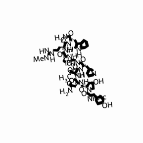 CNC(=N)NCCC[C@H](NC(=O)[C@H](CC(C)C)NC(=O)CNC(=O)[C@H](Cc1cccnc1)NC(=O)[C@@H](NC(=O)[C@H](CC(N)=O)NC(=O)[C@@H]1C[C@@H](O)CN1C(=O)[C@@H](Cc1ccc(O)cc1)NC(C)=O)[C@@H](C)O)C(=O)N[C@@H](Cc1c[nH]c2ccccc12)C(N)=O